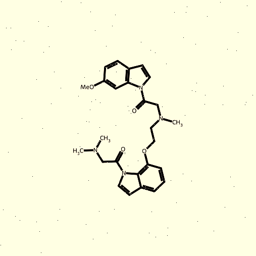 COc1ccc2ccn(C(=O)CN(C)CCOc3cccc4ccn(C(=O)CN(C)C)c34)c2c1